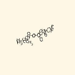 CC(C)(C)N1CCN(C(=O)c2ccc(-c3cc(Cl)c(CC4CCN(C5CCC(F)(F)CC5)C4=O)c(Cl)c3)cc2)CC1